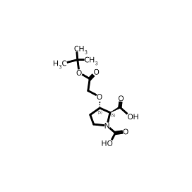 CC(C)(C)OC(=O)CO[C@H]1CCN(C(=O)O)[C@@H]1C(=O)O